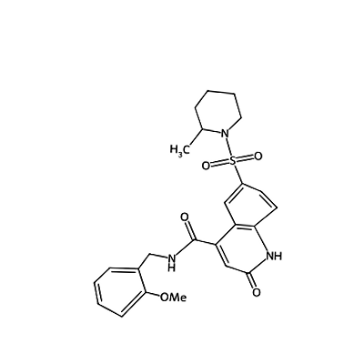 COc1ccccc1CNC(=O)c1cc(=O)[nH]c2ccc(S(=O)(=O)N3CCCCC3C)cc12